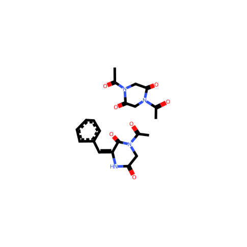 CC(=O)N1CC(=O)N(C(C)=O)CC1=O.CC(=O)N1CC(=O)NC(=Cc2ccccc2)C1=O